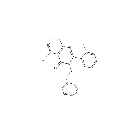 Cc1ccccc1-c1nc2ccnc(C(F)(F)F)c2c(=O)n1CCc1ccccc1